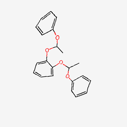 CC(Oc1ccccc1)Oc1ccccc1OC(C)Oc1ccccc1